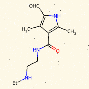 CCNCCNC(=O)c1c(C)[nH]c(C=O)c1C